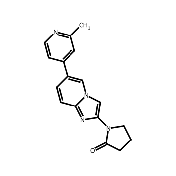 Cc1cc(-c2ccc3nc(N4CCCC4=O)cn3c2)ccn1